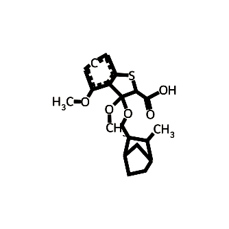 COc1cccc2c1C(OC)(OCC1C3CCC(C3)C1C)C(C(=O)O)S2